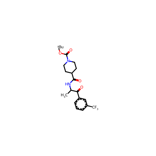 CC(NC(=O)C1CCN(C(=O)OC(C)(C)C)CC1)C(=O)c1cccc(C(F)(F)F)c1